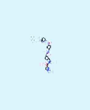 COc1ccc(CNC(=O)c2ccc(CNC(=O)Cc3cccc(C[C@@H](C)NC[C@@H](O)c4ccc(N)nc4)c3)cc2)cc1OC